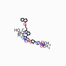 Cc1nn(C)c(COc2ccc(N3CCN(S(=O)(=O)N(C)C)CC3)cc2)c1-c1cccc2c(CCCOc3cccc4ccccc34)c(C(=O)O)n(CC(C)C)c12